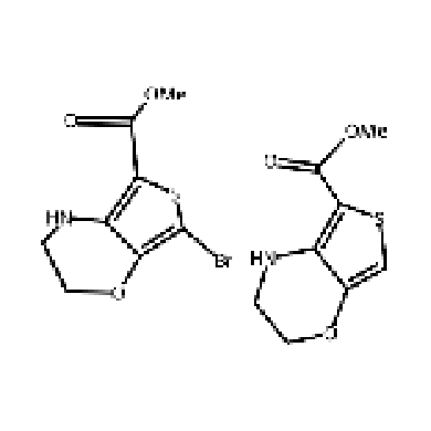 COC(=O)c1sc(Br)c2c1NCCO2.COC(=O)c1scc2c1NCCO2